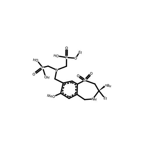 CCCC[C@]1(CC)CS(=O)(=O)c2cc(CN(CP(=O)(O)O)CP(=O)(O)OCC)c(OC)cc2CN1